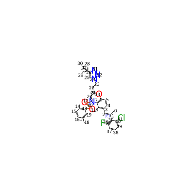 C/C(=C\c1ccc2c(c1)N(S(=O)(=O)c1cccc(C)c1)C[C@H](CCn1cc([Si](C)(C)C)nn1)O2)c1c(F)cccc1Cl